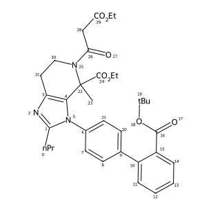 CCCc1nc2c(n1-c1ccc(-c3ccccc3C(=O)OC(C)(C)C)cc1)C(C)(C(=O)OCC)N(C(=O)CC(=O)OCC)CC2